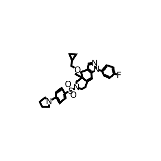 O=S(=O)(c1ccc(N2CCCC2)cc1)N1CCC2=Cc3c(cnn3-c3ccc(F)cc3)CC2(COCC2CC2)C1